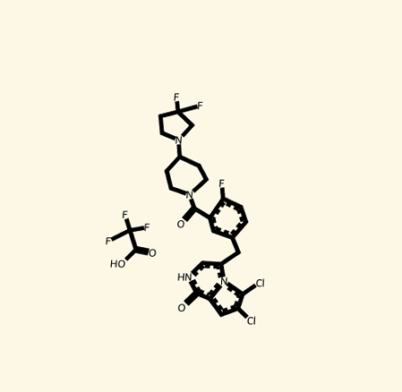 O=C(O)C(F)(F)F.O=C(c1cc(Cc2c[nH]c(=O)c3cc(Cl)c(Cl)n23)ccc1F)N1CCC(N2CCC(F)(F)C2)CC1